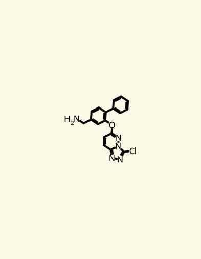 NCc1ccc(-c2ccccc2)c(Oc2ccc3nnc(Cl)n3n2)c1